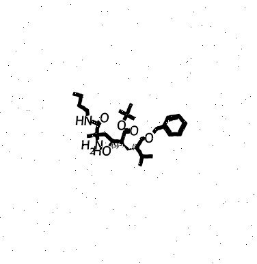 CCCCNC(=O)C(C)(N)C[C@H](O)[C@H](C[C@H](COCc1ccccc1)C(C)C)C(=O)OC(C)(C)C